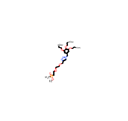 CCCCCCCCCCCCOc1cc(Cn2cc(COCCOCCP(C)(=O)OCC)nn2)cc(OCCCCCCCCCCCC)c1OCCCCCCCCCCCC